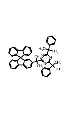 CC(C)(c1ccccc1)c1nc(C(C)(C)c2ccc3c(c2)C2(c4ccccc4-c4ccccc42)c2ccccc2-3)nc(C(C)(O)c2ccccc2)n1